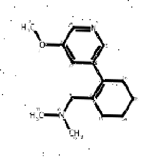 COc1cncc(C2=C(CN(C)C)CCCC2)c1